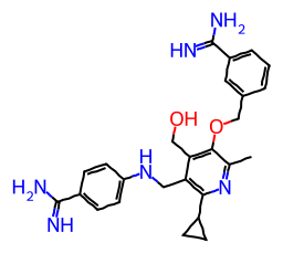 Cc1nc(C2CC2)c(CNc2ccc(C(=N)N)cc2)c(CO)c1OCc1cccc(C(=N)N)c1